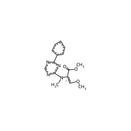 CO/C=C(\C(=O)OC)N(C)c1ncnc(-c2ccccc2)n1